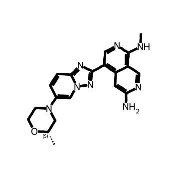 CNc1ncc(-c2nc3ccc(N4CCO[C@@H](C)C4)cn3n2)c2cc(N)ncc12